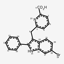 O=C(O)c1cccc(Cc2c(-c3ccccc3)[nH]c3cc(Br)ccc23)n1